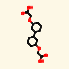 O=C(O)COC1CCCC(C2CCCC(OCC(=O)O)C2)C1